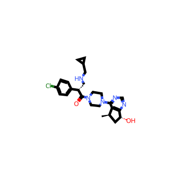 C[C@@H]1C[C@@H](O)c2ncnc(N3CCN(C(=O)[C@@H](CNCC4CC4)c4ccc(Cl)cc4)CC3)c21